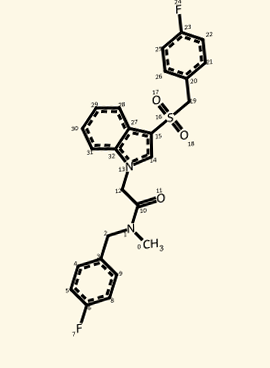 CN(Cc1ccc(F)cc1)C(=O)Cn1cc(S(=O)(=O)Cc2ccc(F)cc2)c2ccccc21